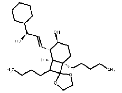 CCCCO[C@@]12CC[C@H](O)[C@@H](/C=C/[C@@H](O)C3CCCCC3)[C@@H]1C(CCCC)C21OCCO1